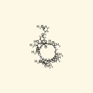 CO[C@H]1/C=C/O[C@@]2(C)Oc3c(C)c(O)c4c(=O)c(c5oc6cc(OCC7CCCN(C)C7)ccc6nc-5c4c3C2=O)NC(=O)/C(C)=C\C=C\[C@H](C)[C@H](O)[C@@H](C)[C@@H](O)[C@@H](C)[C@H](OC(C)=O)[C@@H]1C